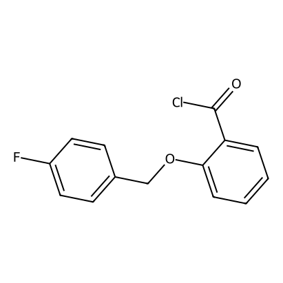 O=C(Cl)c1ccccc1OCc1ccc(F)cc1